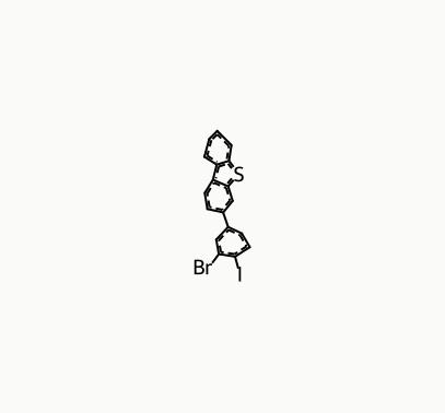 Brc1cc(-c2ccc3c(c2)sc2ccccc23)ccc1I